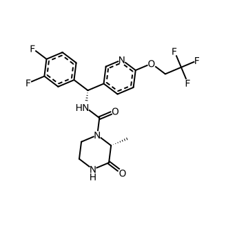 C[C@@H]1C(=O)NCCN1C(=O)N[C@@H](c1ccc(OCC(F)(F)F)nc1)c1ccc(F)c(F)c1